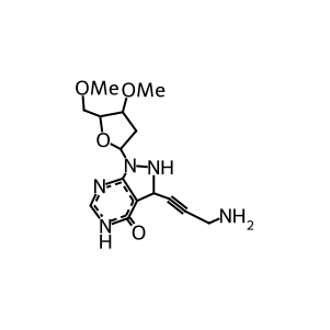 COCC1OC(N2NC(C#CCN)c3c2nc[nH]c3=O)CC1OC